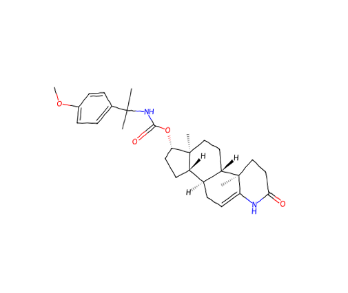 COc1ccc(C(C)(C)NC(=O)O[C@H]2CC[C@H]3[C@@H]4CC=C5NC(=O)CC[C@]5(C)[C@H]4CC[C@]23C)cc1